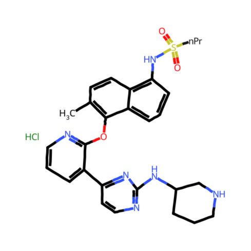 CCCS(=O)(=O)Nc1cccc2c(Oc3ncccc3-c3ccnc(NC4CCCNC4)n3)c(C)ccc12.Cl